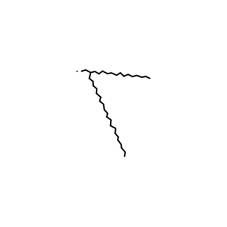 [CH2]CC(CCCCCCCCCCCCCC)CCCCCCCCCCCCCCCCCCCCC